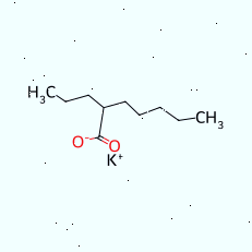 CCCCCC(CCC)C(=O)[O-].[K+]